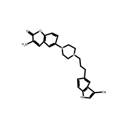 N#Cc1c[nH]c2ccc(CCCN3CCN(c4ccc5oc(=O)c(N)cc5c4)CC3)cc12